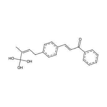 CC(=CCc1ccc(C=CC(=O)c2ccccc2)cc1)C(O)(O)O